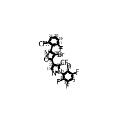 Fc1cc(F)c(F)c(-n2ncc(-c3onc(-c4c(F)cccc4Cl)c3Br)c2C(F)(F)F)c1F